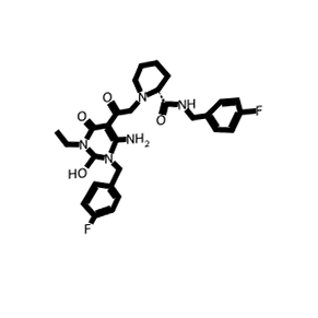 CCN1C(=O)C(C(=O)CN2CCCC[C@@H]2C(=O)NCc2ccc(F)cc2)=C(N)N(Cc2ccc(F)cc2)C1O